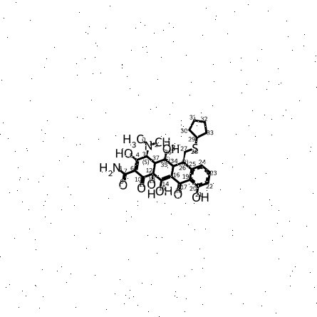 CN(C)[C@@H]1C(O)=C(C(N)=O)C(=O)[C@@]2(O)C(O)=C3C(=O)c4c(O)cccc4[C@H](CSC4CCCC4)C3[C@H](O)C12